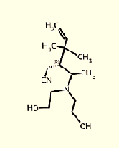 C=CC(C)(C)[C@@H](CC#N)C(C)N(CCO)CCO